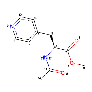 COC(=O)[C@H](Cc1ccncc1)NC(C)=O